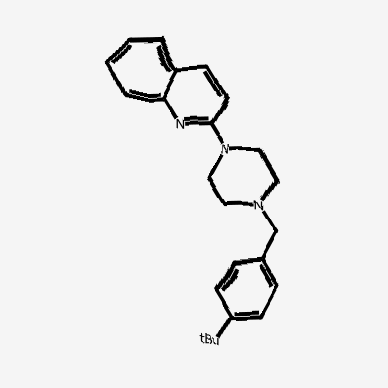 CC(C)(C)c1ccc(CN2CCN(c3ccc4ccccc4n3)CC2)cc1